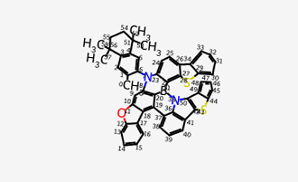 Cc1cc2c(cc1N1c3cc4oc5ccccc5c4c4c3B(c3c1ccc1c3sc3ccccc31)n1c3c-4cccc3c3sc4ccccc4c31)C(C)(C)CCC2(C)C